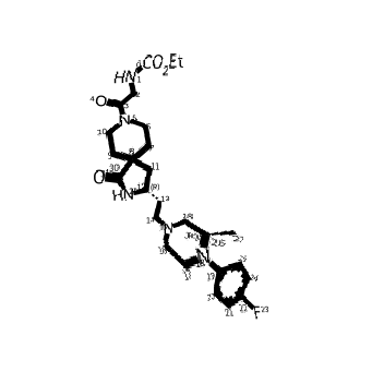 CCOC(=O)NCC(=O)N1CCC2(CC1)C[C@H](CCN1CCN(c3ccc(F)cc3)[C@H](C)C1)NC2=O